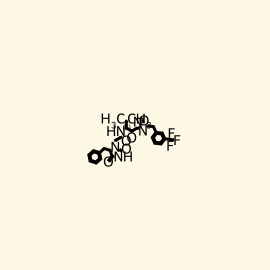 CC(C)[C@H](NC(=O)CN1C(=O)NC(=O)C1Cc1ccccc1)C(=O)c1noc(Cc2cccc(C(F)(F)F)c2)n1